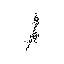 CCCCC[C@H](O)/C=C/[C@@H]1[C@H]2CC(CCCCC(=O)Oc3ccc(SC)cc3)S[C@@H]2C[C@H]1O